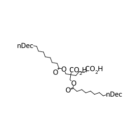 CCCCCCCCCCCCCCCCCC(=O)OCC(CCCC(=O)O)(COC(=O)CCCCCCCCCCCCCCCCC)C(=O)O